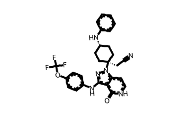 N#CC[C@]1(n2nc(Nc3ccc(OC(F)(F)F)cc3)c3c(=O)[nH]ccc32)CC[C@H](Nc2ccccc2)CC1